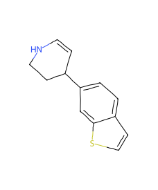 C1=CC(c2ccc3ccsc3c2)CCN1